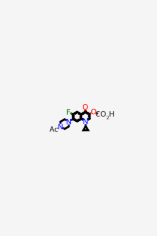 CC(=O)N1CCN(c2cc3c(cc2F)c(=O)c(OC(=O)O)cn3C2CC2)CC1